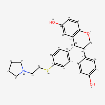 Oc1ccc([C@H]2COc3ccc(O)cc3[C@H]2c2ccc(SCCN3CCCC3)cc2)cc1